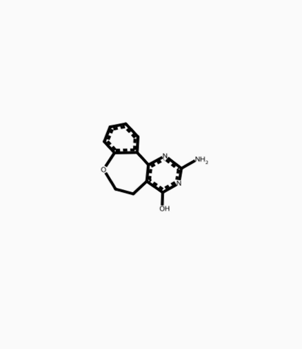 Nc1nc(O)c2c(n1)-c1ccccc1OCC2